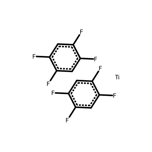 Fc1cc(F)c(F)cc1F.Fc1cc(F)c(F)cc1F.[Ti]